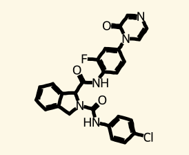 O=C(Nc1ccc(-n2ccncc2=O)cc1F)C1c2ccccc2CN1C(=O)Nc1ccc(Cl)cc1